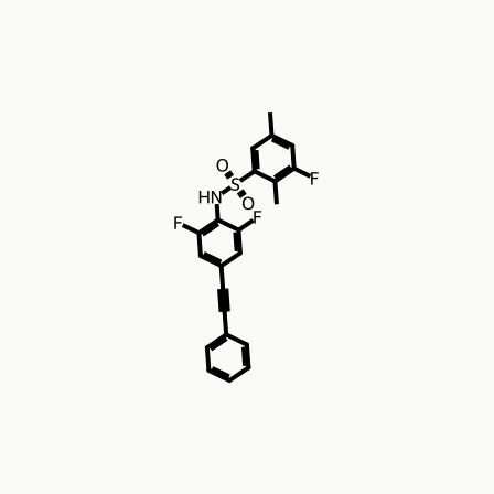 Cc1cc(F)c(C)c(S(=O)(=O)Nc2c(F)cc(C#Cc3ccccc3)cc2F)c1